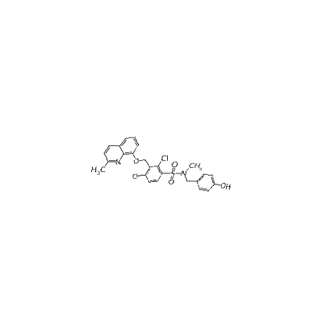 Cc1ccc2cccc(OCc3c(Cl)ccc(S(=O)(=O)N(C)Cc4ccc(O)cc4)c3Cl)c2n1